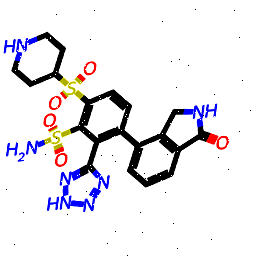 NS(=O)(=O)c1c(S(=O)(=O)C2CCNCC2)ccc(-c2cccc3c2CNC3=O)c1-c1nn[nH]n1